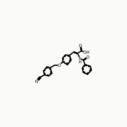 N#Cc1ccc(COc2ccc(/C=C(\NC(=O)c3ccccc3)C(=O)O)cc2)cc1